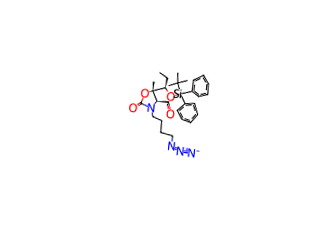 CC[C@@H](O[Si](c1ccccc1)(c1ccccc1)C(C)(C)C)[C@@]1(C)OC(=O)N(CCCCN=[N+]=[N-])[C@@H]1C=O